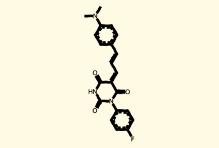 CN(C)c1ccc(/C=C/C=C2\C(=O)NC(=O)N(c3ccc(F)cc3)C2=O)cc1